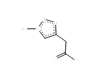 CCn1cc(CC(=O)C(C)C)nn1